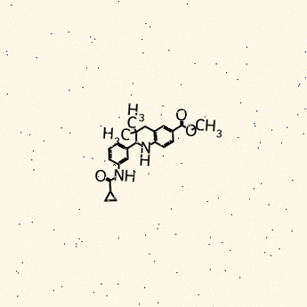 COC(=O)c1ccc2c(c1)CC(C)(C)C(c1cccc(NC(=O)C3CC3)c1)N2